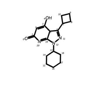 O=C1C=C(O)C2C(C3CCC3)=NN(C3CCCCC3)C2=N1